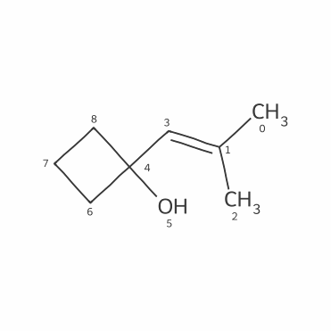 CC(C)=CC1(O)CCC1